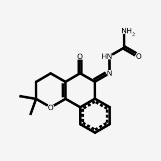 CC1(C)CCC2=C(O1)c1ccccc1C(=NNC(N)=O)C2=O